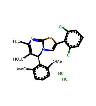 COc1cccc(OC)c1[C@H]1C(C(=O)O)=C(C)N=C2SC(c3c(Cl)cccc3Cl)=CN21.Cl.Cl